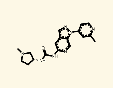 Cc1cc(-n2ncc3cc(NC(=O)N[C@@H]4CCN(C)C4)ncc32)ccn1